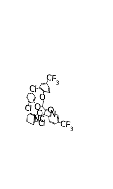 N#CC(Oc1ccccc1Cl)(C(=O)C(COc1ccc(C(F)(F)F)cc1Cl)Oc1ccccc1Cl)c1ccc(C(F)(F)F)cn1